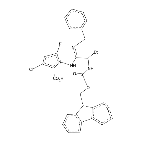 CCC(NC(=O)OCC1c2ccccc2-c2ccccc21)C(=NCc1ccccc1)Nn1c(Cl)cc(Cl)c1C(=O)O